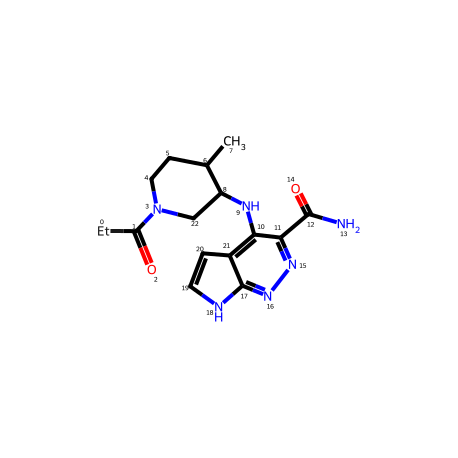 CCC(=O)N1CCC(C)C(Nc2c(C(N)=O)nnc3[nH]ccc23)C1